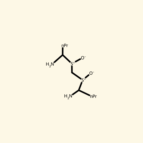 CCCC(N)[S+]([O-])C[S+]([O-])C(N)CCC